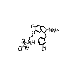 CNC1Cc2cc(F)c(OCCNS(=O)(=O)C3CCC3)cc2C1Cc1cccc(Cl)c1